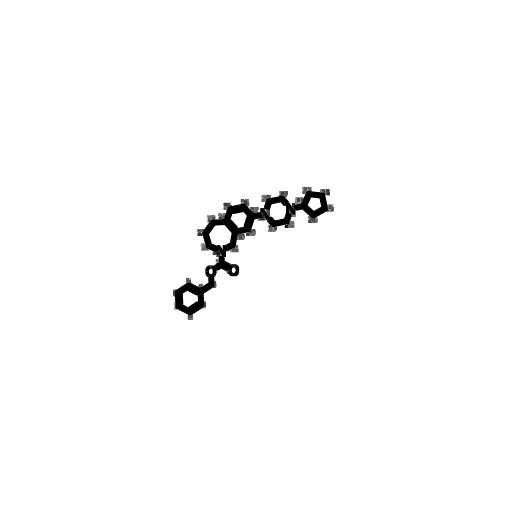 O=C(OCc1ccccc1)N1CCCc2ccc(N3CCN(C4CCCC4)CC3)cc2C1